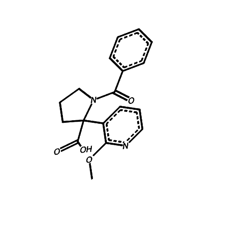 COc1ncccc1C1(C(=O)O)CCCN1C(=O)c1ccccc1